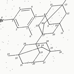 Cc1cc(Br)ccc1C12CC3(C)CC(C)(C1)CC(C14CC5CC(C)(CC(C)(C5)C1)C4)(C3)C2